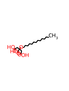 CCCCCCCCCCCCCCOC(CC(=O)O)(CC(=O)O)C(=O)O